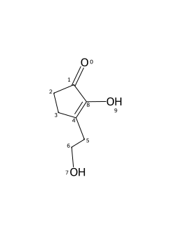 O=C1CCC(CCO)=C1O